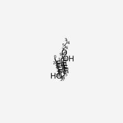 C=CC.CCCCCOCC(O)CC(F)(F)C(F)(F)C(F)(F)C(F)(F)CC(C)O